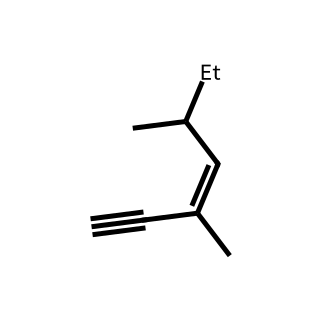 C#CC(C)=CC(C)CC